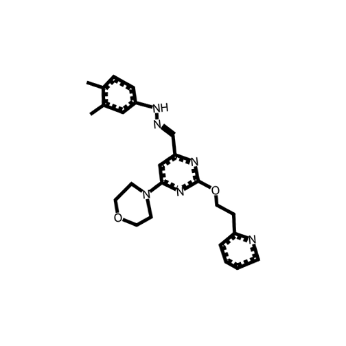 Cc1ccc(NN=Cc2cc(N3CCOCC3)nc(OCCc3ccccn3)n2)cc1C